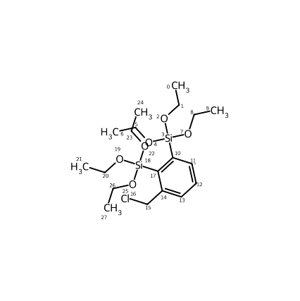 CCO[Si](OCC)(OCC)c1[c]ccc(CCl)c1[Si](OCC)(OCC)OCC